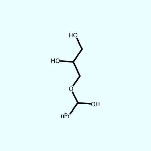 CCCC(O)OCC(O)CO